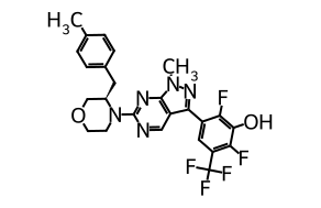 Cc1ccc(C[C@@H]2COCCN2c2ncc3c(-c4cc(C(F)(F)F)c(F)c(O)c4F)nn(C)c3n2)cc1